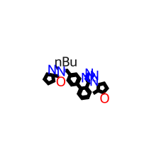 CCCCC1=NC2(CCCC2)C(=O)N1Cc1ccc(-c2ccccc2-c2nnnn2C2CCC(=O)C2C)cc1